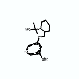 COc1cncc(OCC2CCCCC2C(C)(C)O)c1